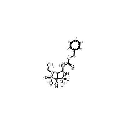 CCOP(=O)(O)C(O)(CCNC(=O)OCc1ccccc1)P(=O)(O)O